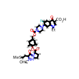 CCn1cc(C(=O)O)c(=O)c2cc(F)c(N3CCN(C(=O)OCc4cc(C)c(OC(=O)C5CCCN5C(=O)C(CCSC)NC=O)c(C)c4)CC3)cc21